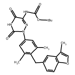 Cc1cc(-n2nc(NC(=O)OC(C)(C)C)c(=O)[nH]c2=O)cc(C)c1Cc1ccc2occ(C)c2c1